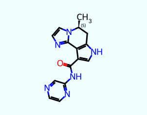 C[C@H]1Cc2[nH]cc(C(=O)Nc3cnccn3)c2-c2nccn21